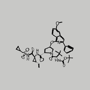 C=C[C@@H]1C[C@]1(NC(=O)[C@@H]1C[C@@H](Oc2nc(-c3ccccc3)cc3cc(OC)ccc23)CN1C(=O)[C@@H](NC(=O)OC(C)(C)C)C(C)(C)C)C(=O)NS(=O)(=O)C1CC1